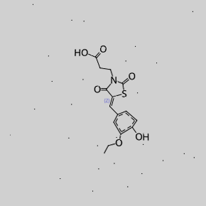 CCOc1cc(/C=C2\SC(=O)N(CCC(=O)O)C2=O)ccc1O